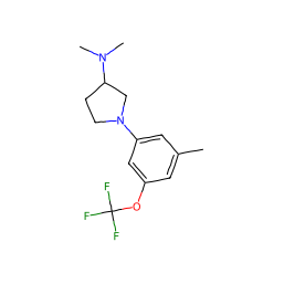 Cc1cc(OC(F)(F)F)cc(N2CCC(N(C)C)C2)c1